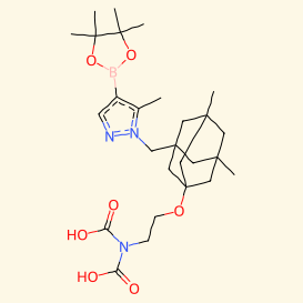 Cc1c(B2OC(C)(C)C(C)(C)O2)cnn1CC12CC3(C)CC(C)(C1)CC(OCCN(C(=O)O)C(=O)O)(C3)C2